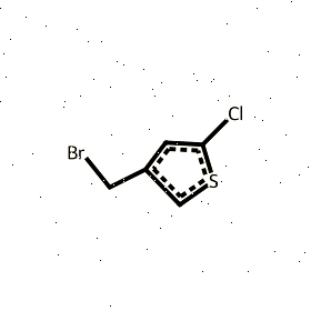 Clc1cc(CBr)cs1